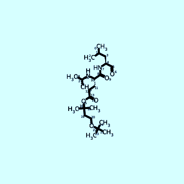 CC(C)C[C@@H](C=O)NC(=O)[C@H](CCC(=O)OC(C)(C)CCOC(C)(C)C)NC(C)C